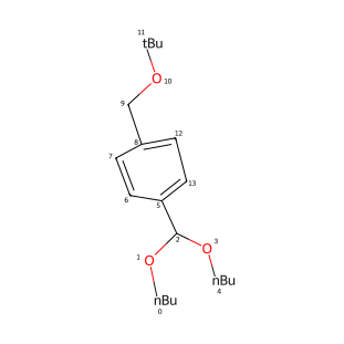 CCCCOC(OCCCC)c1ccc(COC(C)(C)C)cc1